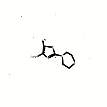 CC(=O)Nc1nc(N2CCOCC2)sc1C#N